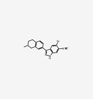 [2H]c1cc2c(-c3ccc4c(c3)CN(C)CC4)n[nH]c2cc1[N+]#[C-]